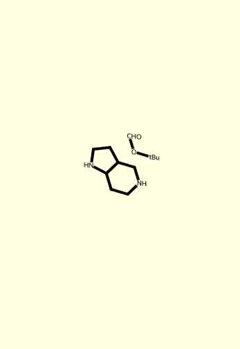 C1CC2NCCC2CN1.CC(C)(C)OC=O